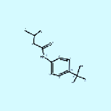 CC(C)CC(=O)Nc1ccc(C(C)(C)C)cc1